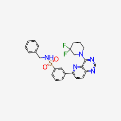 O=S(=O)(NCc1ccccc1)c1cccc(-c2ccc3ncnc(N4CCCC(F)(F)C4)c3n2)c1